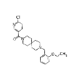 CCOc1ccccc1CN1CCC2(CC1)CCN(C(=O)c1ccc(Cl)nc1)CC2